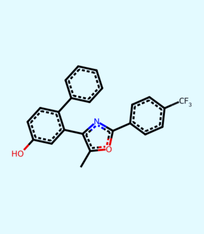 Cc1oc(-c2ccc(C(F)(F)F)cc2)nc1-c1cc(O)ccc1-c1ccccc1